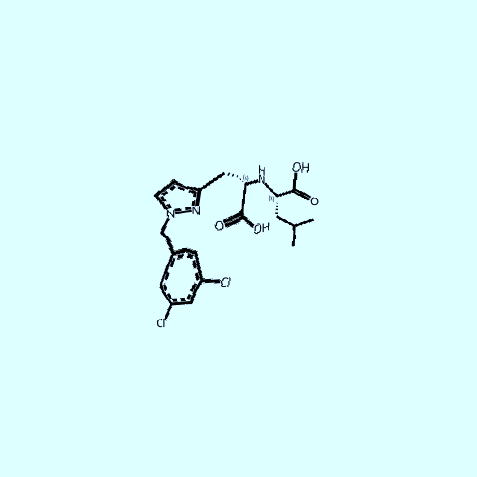 CC(C)C[C@H](N[C@@H](Cc1ccn(Cc2cc(Cl)cc(Cl)c2)n1)C(=O)O)C(=O)O